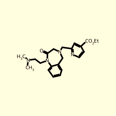 CCOC(=O)c1ccnc(CN2CC(=O)N(CCN(C)C)c3ccccc3C2)c1